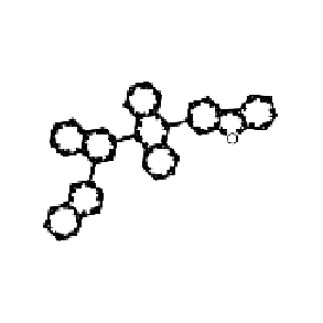 c1ccc2cc(-c3cc(-c4c5ccccc5c(-c5ccc6c(c5)oc5ccccc56)c5ccccc45)cc4ccccc34)ccc2c1